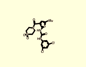 CC(C)(C)c1cc(C(=O)N2CCS(=O)(=O)CC2)c(NC(=O)Nc2cc(Cl)cc(Cl)c2)s1